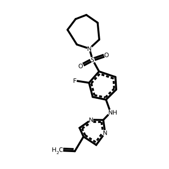 C=Cc1cnc(Nc2ccc(S(=O)(=O)N3CCCCCC3)c(F)c2)nc1